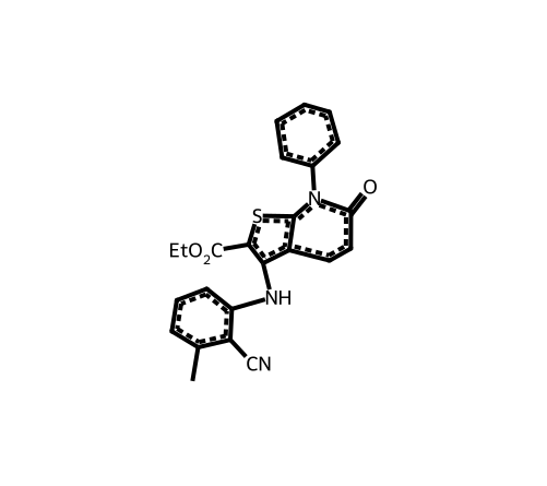 CCOC(=O)c1sc2c(ccc(=O)n2-c2ccccc2)c1Nc1cccc(C)c1C#N